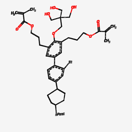 C=C(C)C(=O)OCCCc1cc(-c2ccc(C3CCC(CCCCC)CC3)cc2CC)cc(CCCOC(=O)C(=C)C)c1OCC(CO)(CO)CO